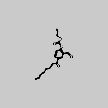 CCCCCCCC(=O)c1ccc(OC(=O)OCCC)c(C=O)c1